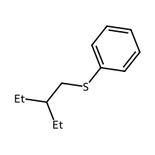 CCC(CC)CSc1ccccc1